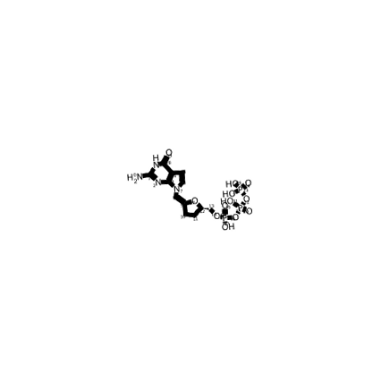 Nc1nc2c(ccn2/C=C2/CC[C@@H](COP(=O)(O)OP(=O)(O)OP(=O)(O)O)O2)c(=O)[nH]1